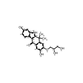 CC1(C)c2cc(OC[C@H](O)CO)c(O)cc2C(=O)c2c1[nH]c1cc(Cl)ccc21